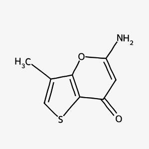 Cc1csc2c(=O)cc(N)oc12